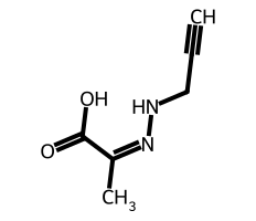 C#CCN/N=C(/C)C(=O)O